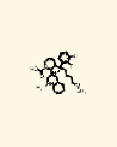 CNCC(CC1CCCCC1)C1C([C@@](O)(CCCCOC)c2cccc(Cl)c2F)CCCN1C(=O)O